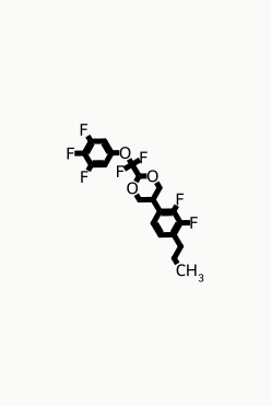 CCCc1ccc(C2COC(C(F)(F)Oc3cc(F)c(F)c(F)c3)OC2)c(F)c1F